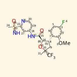 COc1cc(F)ccc1[C@@H]1C[C@](C)(C(F)(F)F)O[C@H]1C(=O)Nc1ccnc(S(C)(=N)=O)c1